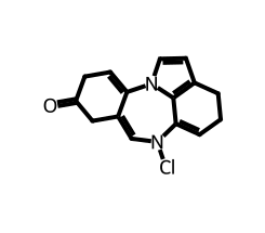 O=C1CC=C2C(=CN(Cl)C3=CCCc4ccn2c43)C1